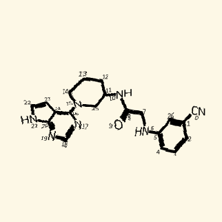 N#Cc1cccc(NCC(=O)NC2CCCN(c3ncnc4[nH]ccc34)C2)c1